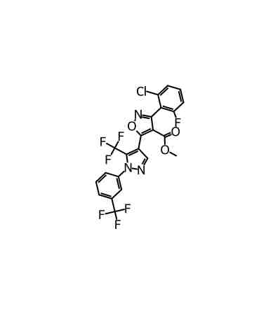 COC(=O)c1c(-c2c(F)cccc2Cl)noc1-c1cnn(-c2cccc(C(F)(F)F)c2)c1C(F)(F)F